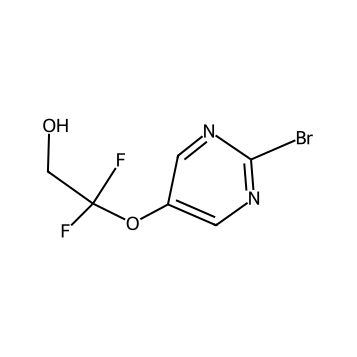 OCC(F)(F)Oc1cnc(Br)nc1